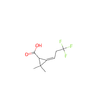 CC1(C)/C(=C/CC(F)(F)F)C1C(=O)O